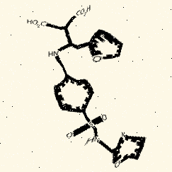 O=C(O)C(C(=O)O)C(Nc1ccc(S(=O)(=O)Nc2ncco2)cc1)c1ccco1